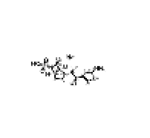 Nc1nc(C(=O)C(=O)N2CC[C@@H]3[C@H]2C(=O)N3S(=O)(=O)O)cs1.[Na]